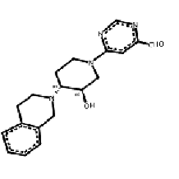 O=Cc1cc(N2CC[C@@H](N3CCc4ccccc4C3)[C@H](O)C2)ncn1